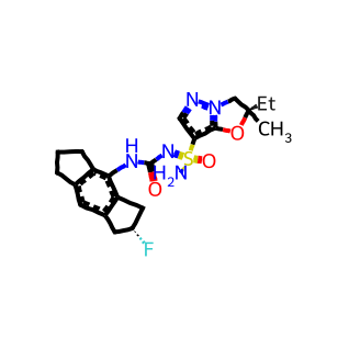 CC[C@]1(C)Cn2ncc([S@](N)(=O)=NC(=O)Nc3c4c(cc5c3C[C@H](F)C5)CCC4)c2O1